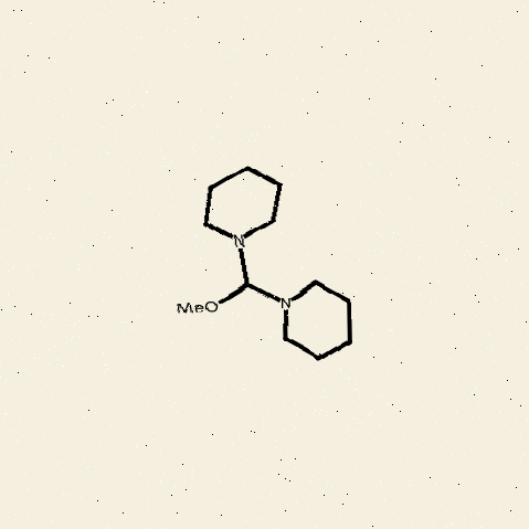 COC(N1CCCCC1)N1CCCCC1